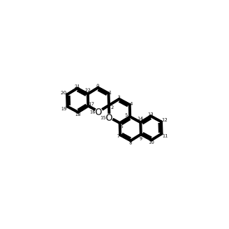 C1=CC2(C=Cc3c(ccc4ccccc34)O2)Oc2ccccc21